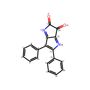 O=c1nc2c(-c3ccccc3)c(-c3ccccc3)nc-2c1=O